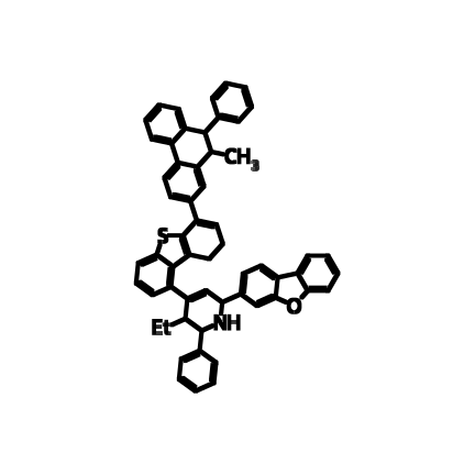 CCC1C(c2cccc3sc4c(c23)CCC=C4c2ccc3c(c2)C(C)C(c2ccccc2)c2ccccc2-3)=CC(c2ccc3c(c2)oc2ccccc23)NC1c1ccccc1